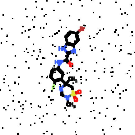 CN1C=NC(C)(c2cc(NC(=O)c3nc4cc(Br)ccc4[nH]3)ccc2F)CS1(=O)=O